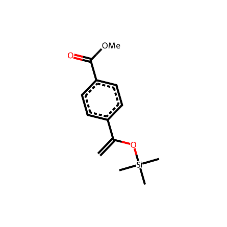 C=C(O[Si](C)(C)C)c1ccc(C(=O)OC)cc1